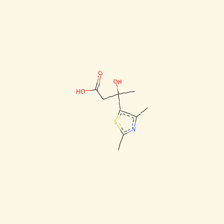 Cc1nc(C)c(C(C)(O)CC(=O)O)s1